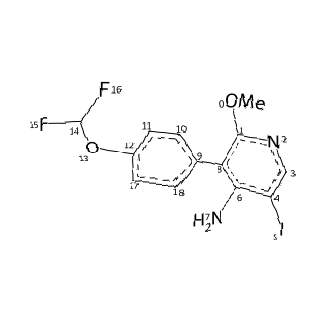 COc1ncc(I)c(N)c1-c1ccc(OC(F)F)cc1